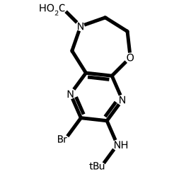 CC(C)(C)Nc1nc2c(nc1Br)CN(C(=O)O)CCO2